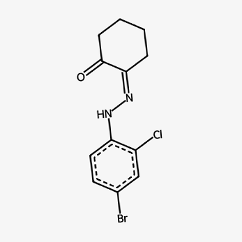 O=C1CCCCC1=NNc1ccc(Br)cc1Cl